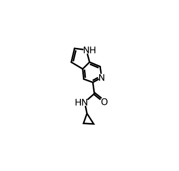 O=C(NC1CC1)c1cc2cc[nH]c2cn1